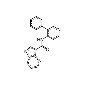 O=C(Nc1ccncc1-c1ccccc1)c1cnn2cccnc12